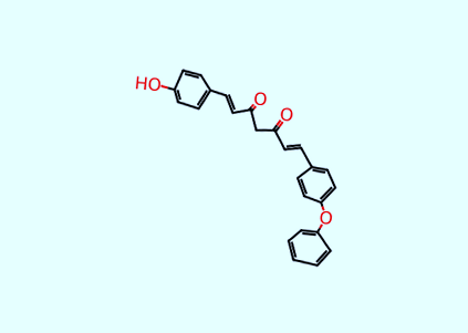 O=C(C=Cc1ccc(O)cc1)CC(=O)C=Cc1ccc(Oc2ccccc2)cc1